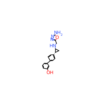 Nc1nnc(CN[C@H]2C[C@@H]2c2ccc(-c3cccc(O)c3)cc2)o1